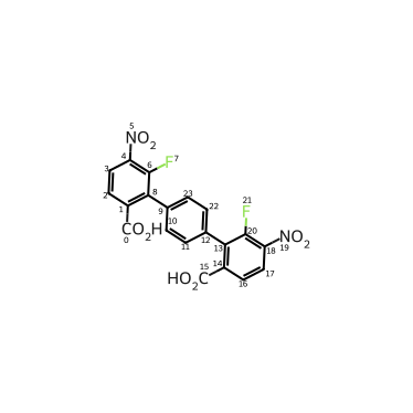 O=C(O)c1ccc([N+](=O)[O-])c(F)c1-c1ccc(-c2c(C(=O)O)ccc([N+](=O)[O-])c2F)cc1